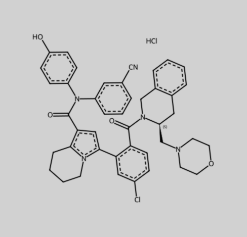 Cl.N#Cc1cccc(N(C(=O)c2cc(-c3cc(Cl)ccc3C(=O)N3Cc4ccccc4C[C@H]3CN3CCOCC3)n3c2CCCC3)c2ccc(O)cc2)c1